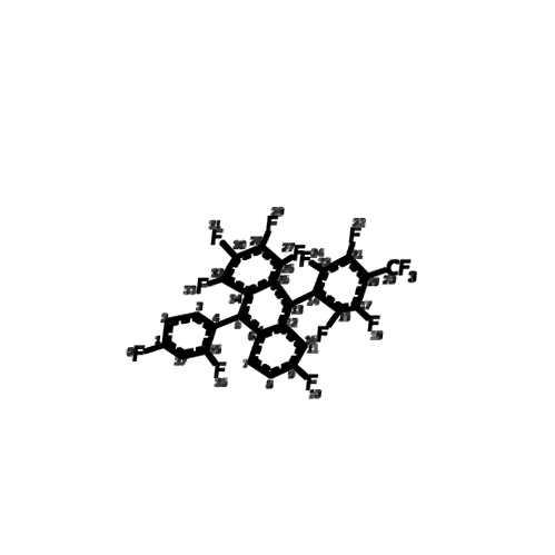 Fc1ccc(-c2c3ccc(F)cc3c(-c3c(F)c(F)c(C(F)(F)F)c(F)c3F)c3c(F)c(F)c(F)c(F)c23)c(F)c1